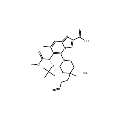 C=CCOC1(C)CCN(c2c([C@H](OC(C)(C)C)C(=O)OC)c(C)cc3nc(C(=O)O)cn23)CC1.[NaH]